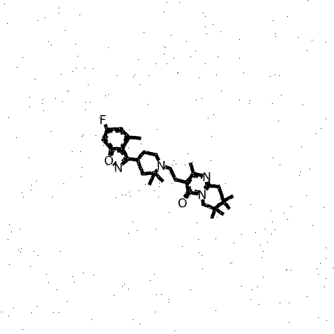 Cc1nc2n(c(=O)c1CCN1CCC(c3noc4cc(F)cc(C)c34)CC1(C)C)CC(C)(C)C(C)(C)C2